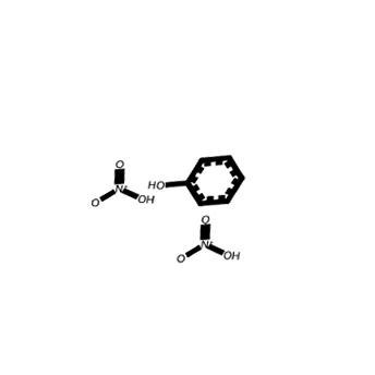 O=[N+]([O-])O.O=[N+]([O-])O.Oc1ccccc1